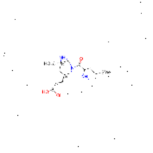 CSCCC(N)C(=O)N1C[C@@H](CCB(O)O)C[C@](N)(C(=O)O)C1